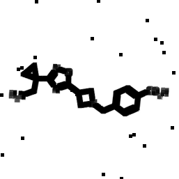 NCC1(c2noc(C3CN(Cc4ccc(C(=O)O)cc4)C3)n2)CC1